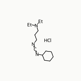 CCN(CC)CCCN=C=NC1CCCCC1.Cl